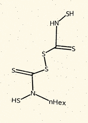 CCCCCCN(S)C(=S)SSC(=S)NS